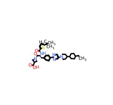 CCC1CCC(C2CCN(c3cnc(-c4ccc(C[C@H](NC(=O)c5ccc(C(C)(C)C)s5)C(=O)N5CC(C(=O)O)C5)cc4)nc3)CC2)CC1